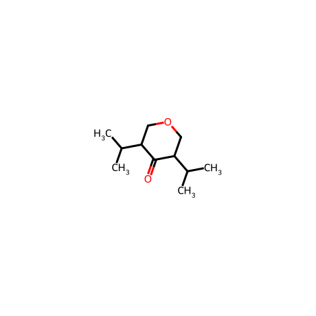 CC(C)C1COCC(C(C)C)C1=O